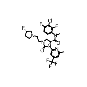 Cc1cc(C(F)(F)F)cc(N2C(=O)N(CCN3CC[C@H](F)C3)C[C@H]2C(=O)N(C)c2ccc(F)c(Cl)c2F)n1